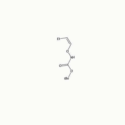 CC/C=C\ONC(=O)OC(C)(C)C